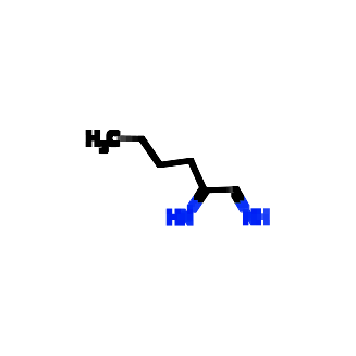 CCCCC(=N)C=N